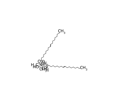 CCCCCCCCC=CCCCCCCCC(=O)OC(C)[N+](C)(C(C)O)C(C)OC(=O)CCCCCCCC=CCCCCCCCC